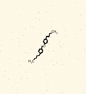 CCCC=Cc1ccc(OCc2ccc(CCCCC)cc2)cc1